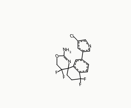 NC1=NC2(CCC(F)(F)c3ccc(-c4cncc(Cl)c4)cc32)C(F)(F)CO1